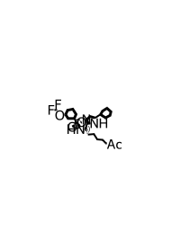 CC(=O)CCCCC[C@H](NS(=O)(=O)c1cccc(OC(F)F)c1)c1ncc(-c2ccccc2)[nH]1